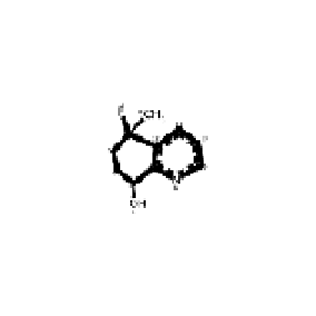 C[C@]1(F)CC[C@H](O)c2ncccc21